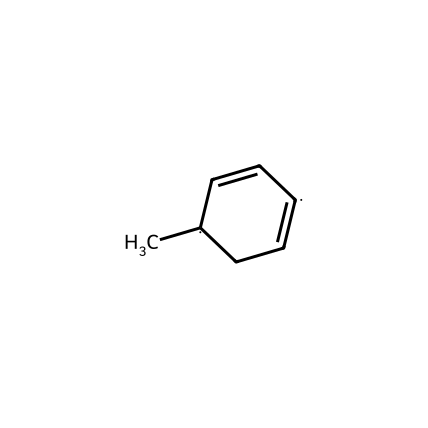 C[C]1C=C[C]=CC1